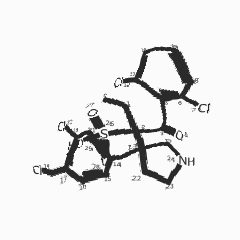 CCC(C(=O)c1c(Cl)cccc1Cl)(C1(c2ccc(Cl)c(Cl)c2)CCNC1)S(=O)(=O)O